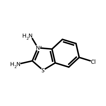 Nc1sc2cc(Cl)ccc2[n+]1N